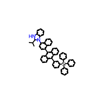 CC(C)C1Nc2ccccc2N1c1ccc(-c2c3ccccc3c(-c3cccc([Si](c4ccccc4)(c4ccccc4)c4ccccc4)c3)c3ccccc23)c2ccccc12